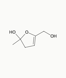 CC1(O)CC=C(CO)O1